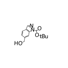 CC(C)(C)OC(=O)n1ncc2ccc(CO)cc21